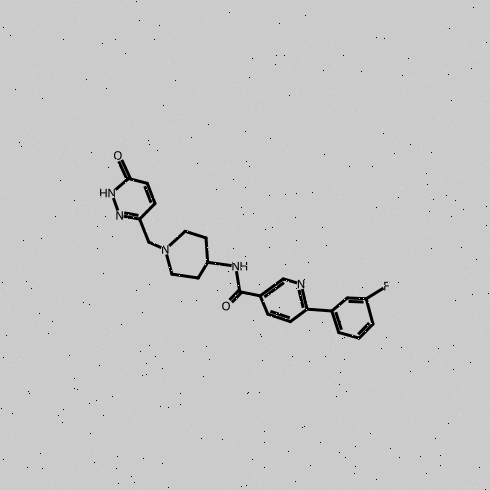 O=C(NC1CCN(Cc2ccc(=O)[nH]n2)CC1)c1ccc(-c2cccc(F)c2)nc1